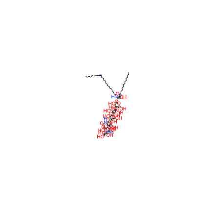 CCCCCCCC/C=C\CCCCCCCCCCCCCC(=O)N[C@@H](CO[C@@H]1OC(CO)[C@@H](O[C@@H]2OC(CO)[C@H](O[C@@H]3OC(CO)[C@H](O)[C@H](O[C@@H]4OC(CO)[C@H](O)[C@H](O[C@]5(C(=O)O)CC(O)[C@@H](NC(C)=O)C([C@H](O)[C@H](O)CO)O5)C4NC(C)=O)C3O)[C@H](O)C2O)[C@H](O)C1O)[C@H](O)/C=C/CCCCCCCCCCCCC